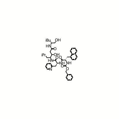 CCC(C)[C@@H](CO)NC(=O)CC(O)C(CC(C)C)NC(=O)[C@H](Cc1ccccn1)NC(=O)[C@H](Cc1cccc2ccccc12)NC(=O)OCc1ccccc1